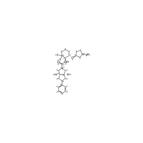 CC(C)N1CC[C@H](O[C@H]2CCCC(F)(F)[C@@H]2NC(=O)N2C[C@H]3CC(c4ccccc4)C[C@H]3C2)C1